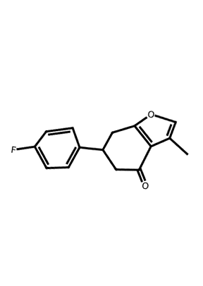 Cc1coc2c1C(=O)CC(c1ccc(F)cc1)C2